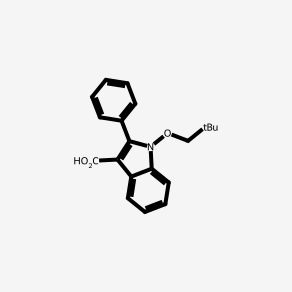 CC(C)(C)COn1c(-c2ccccc2)c(C(=O)O)c2ccccc21